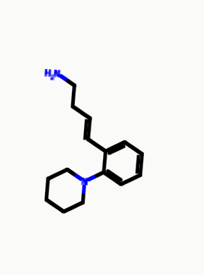 NCCC=Cc1ccccc1N1CCCCC1